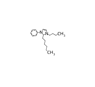 CCCCCCC1N(CCCC)C=CN1c1ccccc1